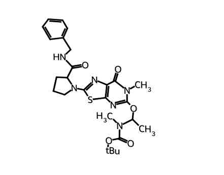 CC(Oc1nc2sc(N3CCCC3C(=O)NCc3ccccc3)nc2c(=O)n1C)N(C)C(=O)OC(C)(C)C